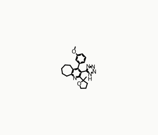 COc1cccc(-c2c3c(nc(C4(C)CCCO4)c2-c2nnn[nH]2)CCCCC3)c1